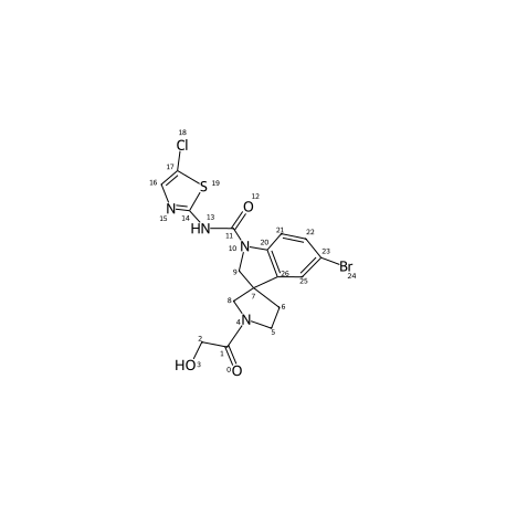 O=C(CO)N1CCC2(C1)CN(C(=O)Nc1ncc(Cl)s1)c1ccc(Br)cc12